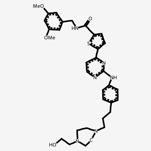 COc1cc(CNC(=O)c2ccc(-c3ccnc(Nc4ccc(CCCN5CCN(CCO)CC5)cc4)n3)s2)cc(OC)c1